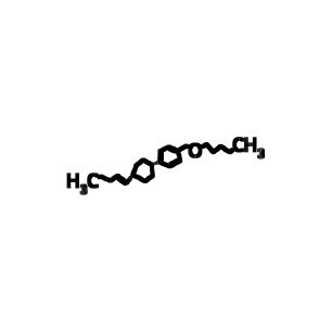 CCCC=C[C@H]1CC[C@H](c2ccc(COCCCCC)cc2)CC1